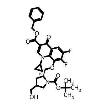 CC(C)(C)OC(=O)N1CC(CO)C[C@H]1COc1c(F)c(F)cc2c(=O)c(C(=O)OCc3ccccc3)cn(C3CC3)c12